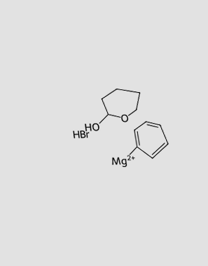 Br.OC1CCCCO1.[Mg+2][c]1ccccc1